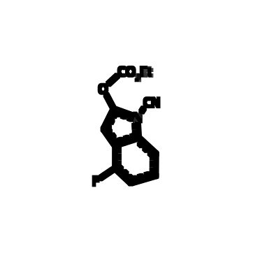 CCOC(=O)Oc1cc2c(F)cccc2n1C#N